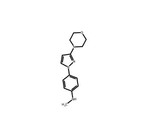 CNc1ccc(-n2ccc(N3CCOCC3)n2)cc1